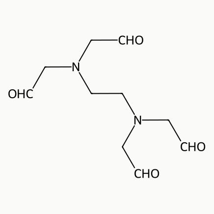 O=CCN(CC=O)CCN(CC=O)CC=O